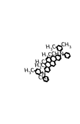 CC1=CCC(N(c2ccccc2)c2ccc3c(c2)C(C)(C)c2ccc4c5c(ccc-3c25)-c2ccc(N(c3ccccc3)c3cc(C)cc(C)c3)cc2C4(C)C)C(C)=C1